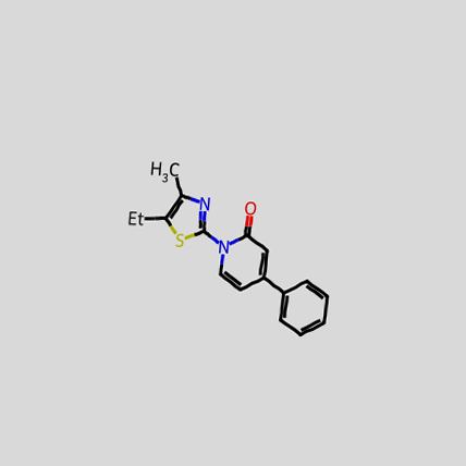 [CH2]Cc1sc(-n2ccc(-c3ccccc3)cc2=O)nc1C